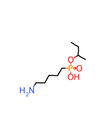 CCC(C)OP(=O)(O)CCCCCN